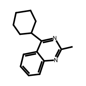 Cc1nc(C2CCCCC2)c2ccccc2n1